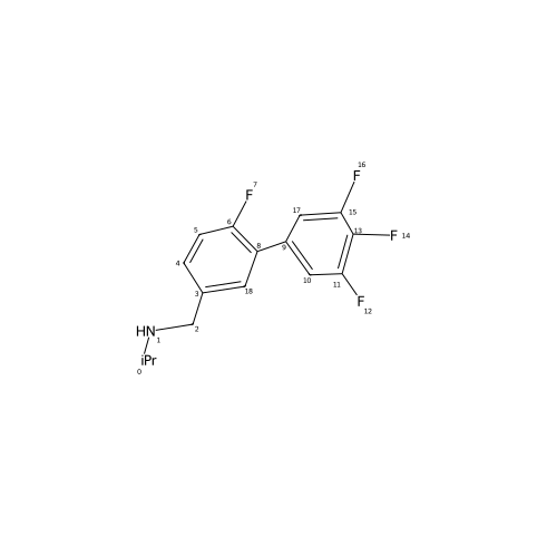 CC(C)NCc1ccc(F)c(-c2cc(F)c(F)c(F)c2)c1